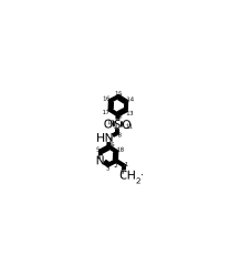 [CH2]Cc1cncc(NCS(=O)(=O)c2ccccc2)c1